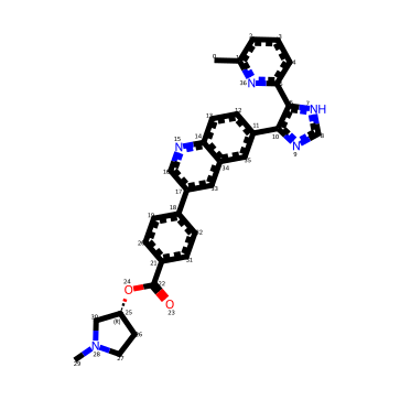 Cc1cccc(-c2[nH]cnc2-c2ccc3ncc(-c4ccc(C(=O)O[C@@H]5CCN(C)C5)cc4)cc3c2)n1